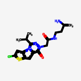 C=C(N)CCNC(=O)Cn1nc(C(C)C)n2c(cc3sc(Cl)cc32)c1=O